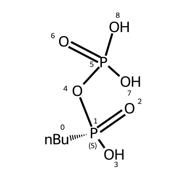 CCCC[P@](=O)(O)OP(=O)(O)O